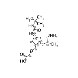 C[C@@H](CN)CN1C[C@H](NC(=O)NC(C)(C)C)C[C@@H]1COCC(=O)O